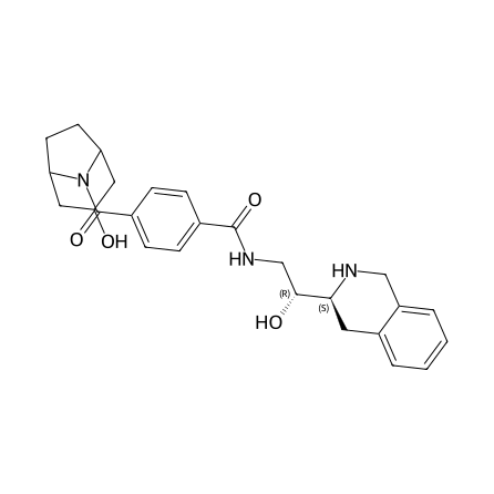 O=C(NC[C@@H](O)[C@@H]1Cc2ccccc2CN1)c1ccc(C(=O)N2C3CCC2CC(O)C3)cc1